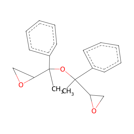 CC(OC(C)(c1ccccc1)C1CO1)(c1ccccc1)C1CO1